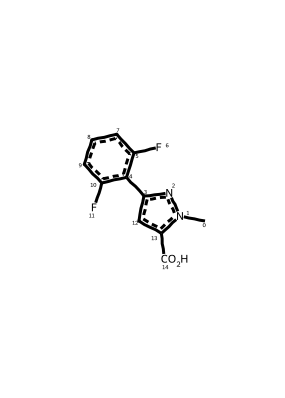 Cn1nc(-c2c(F)cccc2F)cc1C(=O)O